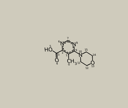 Cc1c(C(=O)O)n[c]nc1N1CCOCC1